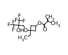 C=C(C)C(=O)OC1CC(CC)(OCC(O)(C(F)(F)F)C(F)(F)F)C1